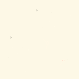 CC(Oc1c(C23CC4CC(CC(C4)C2)C3)c(C(C)(C)C)cc(C(C)(C)C)c1C12CC3CC(CC(C3)C1)C2)C1CO1